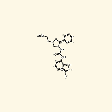 COCCN1CC(NC(=O)Nc2cccc3c(Br)n[nH]c23)C(c2ccccc2)C1